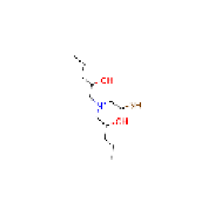 CCCC(O)CN(CCS)CC(O)CCC